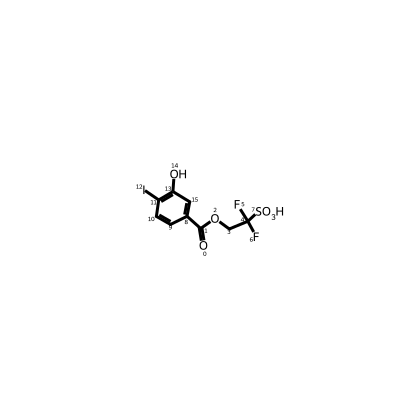 O=C(OCC(F)(F)S(=O)(=O)O)c1ccc(I)c(O)c1